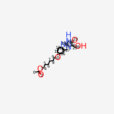 CC(=O)OCCCCCCOc1ccc2c(c1)CN1C(=N2)NC(=O)C1CO